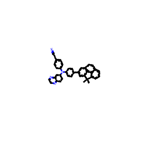 CC1(C)c2cccc3ccc4cc(-c5ccc(N(c6ccc(C#N)cc6)c6ccc7nccnc7c6)cc5)cc1c4c23